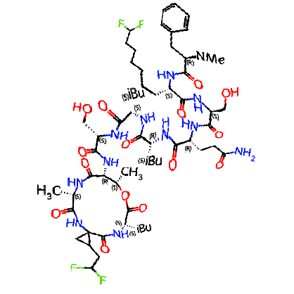 CC[C@H](C)[C@H](NC(=O)[C@H](NC(=O)[C@@H](CCC(N)=O)NC(=O)[C@H](CO)NC(=O)[C@H](CCCCCCC(F)F)NC(=O)[C@@H](Cc1ccccc1)NC)[C@@H](C)CC)C(=O)N[C@@H](CO)C(=O)N[C@H]1C(=O)N[C@@H](C)C(=O)NC2(CC2CC(F)F)C(=O)N[C@@H]([C@@H](C)CC)C(=O)O[C@H]1C